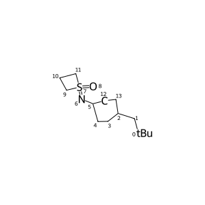 CC(C)(C)CC1CCC(N=S2(=O)CCC2)CC1